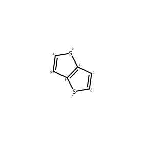 [c]1cc2sc[c]c2s1